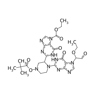 CCOC(=O)n1cnc2nc(C3CN(OC(=O)C(C)(C)C)CCN3c3nc4ncn(C(C=O)OCC)c4c(=O)[nH]3)[nH]c(=O)c21